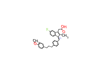 COc1ccc(CCCc2ccc(/C=C3/C(C)=C(CC(=O)O)c4cc(F)ccc43)cc2)cc1